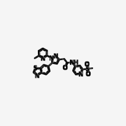 Cc1cccc(-n2nc(CC(=O)Nc3ccnc(S(C)(=O)=O)c3)cc2-c2ccc3ncsc3c2)n1